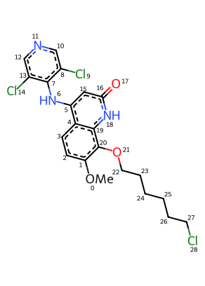 COc1ccc2c(Nc3c(Cl)cncc3Cl)cc(=O)[nH]c2c1OCCCCCCCl